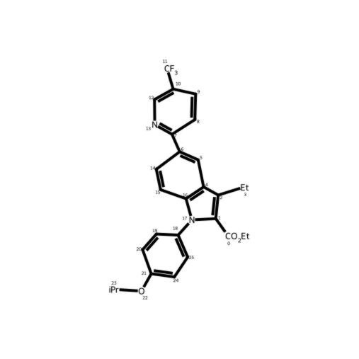 CCOC(=O)c1c(CC)c2cc(-c3ccc(C(F)(F)F)cn3)ccc2n1-c1ccc(OC(C)C)cc1